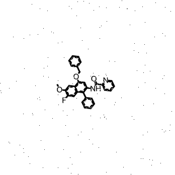 COc1cc2c(OCc3ccccc3)cc(NC(=O)c3ccccn3)c(-c3ccccc3)c2cc1F